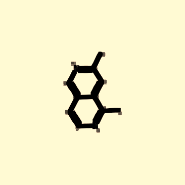 Cc1cc2c(C)nccc2cn1